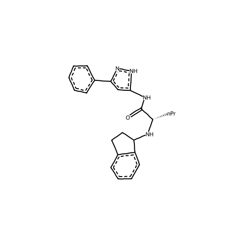 CCC[C@H](NC1CCc2ccccc21)C(=O)Nc1cc(-c2ccccc2)n[nH]1